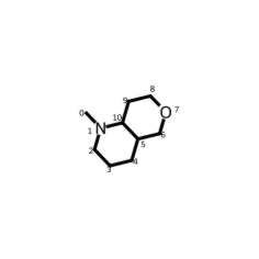 CN1CCCC2COCCC21